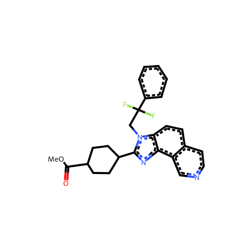 COC(=O)C1CCC(c2nc3c4cnccc4ccc3n2CC(F)(F)c2ccccc2)CC1